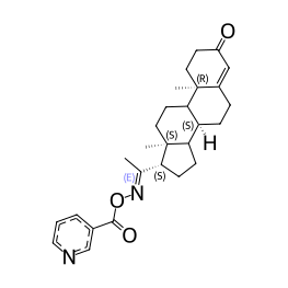 C/C(=N\OC(=O)c1cccnc1)[C@H]1CCC2[C@@H]3CCC4=CC(=O)CC[C@]4(C)C3CC[C@@]21C